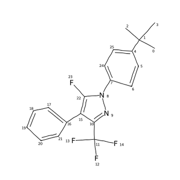 CC(C)(C)c1ccc(-n2nc(C(F)(F)F)c(-c3ccccc3)c2F)cc1